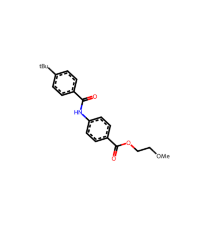 COCCOC(=O)c1ccc(NC(=O)c2ccc(C(C)(C)C)cc2)cc1